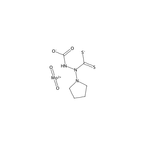 O=C([O-])NN(C(=S)[S-])N1CCCC1.[O]=[Mo+2]=[O]